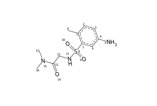 Cc1ccc(N)cc1S(=O)(=O)NCC(=O)N(C)C